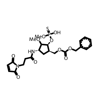 COC1[C@@H](NC(=O)CCN2C(=O)C=CC2=O)C[C@H](COC(=O)OCc2ccccc2)[C@@H]1OP(O)(=S)OC